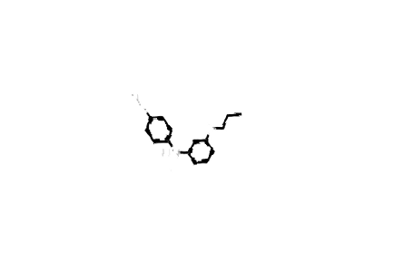 CCCOc1cccc(Nc2ccc([N+]#N)cc2)c1.[Cl-]